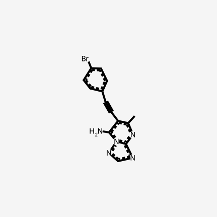 Cc1nc2ncnn2c(N)c1C#Cc1ccc(Br)cc1